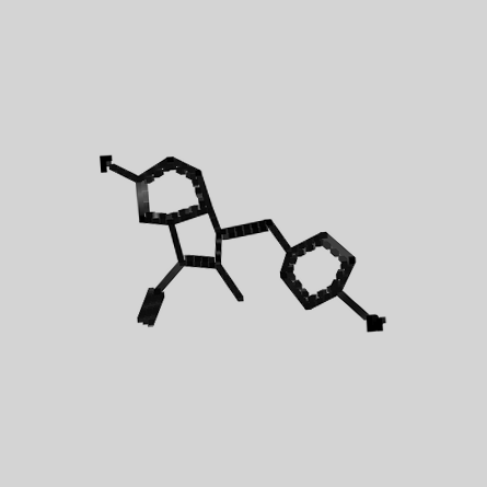 C#CC1=C(C)C(=Cc2ccc(Br)cc2)c2ccc(F)cc21